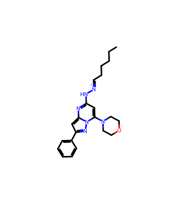 CCCCC/C=N/Nc1cc(N2CCOCC2)n2nc(-c3ccccc3)cc2n1